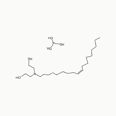 CCCCCCCC/C=C\CCCCCCCCN(CCO)CCO.OP(O)O